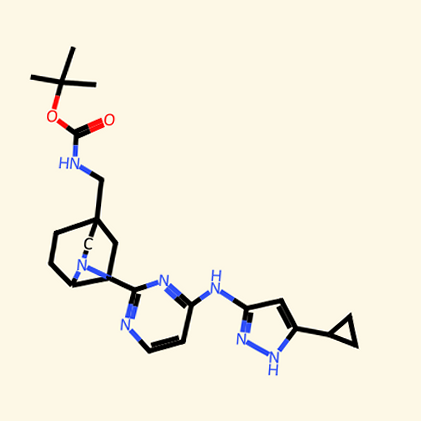 CC(C)(C)OC(=O)NCC12CCC(CC1)N(c1nccc(Nc3cc(C4CC4)[nH]n3)n1)C2